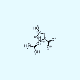 NC(=O)O.O=C(O)[C@@H]1C[C@H](O)CN1